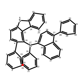 c1ccc(-c2ccc3sc4ccccc4c3c2N(c2ccccc2)c2ccc(-c3ccccc3)c3ccccc23)cc1